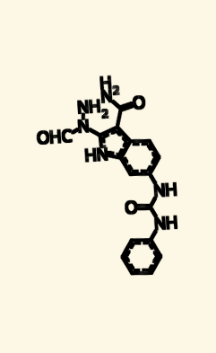 NC(=O)c1c(N(N)C=O)[nH]c2cc(NC(=O)Nc3ccccc3)ccc12